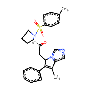 CC1=C(c2ccccc2)C(CC(=O)[C@@H]2CCCN2S(=O)(=O)c2ccc(C)cc2)n2cncc21